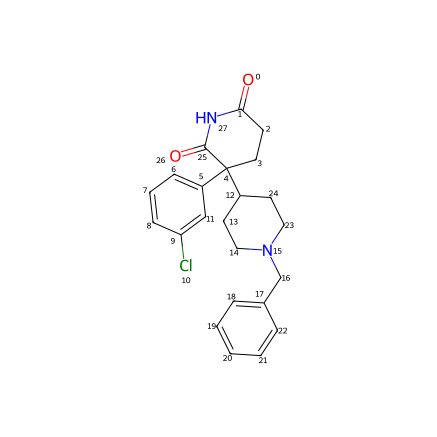 O=C1CCC(c2cccc(Cl)c2)(C2CCN(Cc3ccccc3)CC2)C(=O)N1